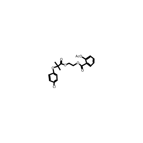 CC(=O)Oc1ccccc1C(=O)OCCOC(=O)C(C)(C)Oc1ccc(Cl)cc1